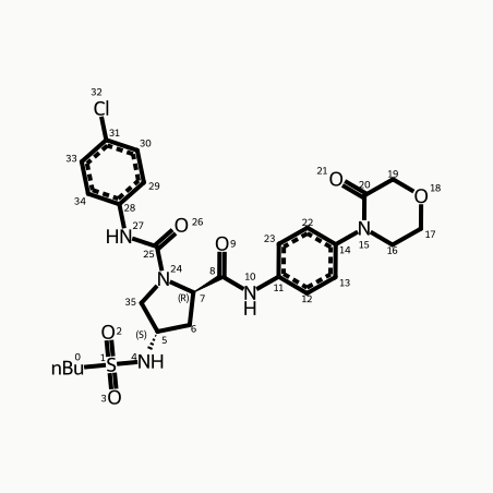 CCCCS(=O)(=O)N[C@H]1C[C@H](C(=O)Nc2ccc(N3CCOCC3=O)cc2)N(C(=O)Nc2ccc(Cl)cc2)C1